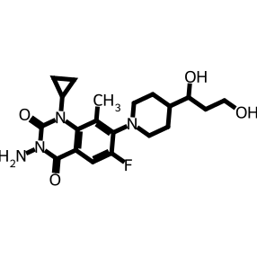 Cc1c(N2CCC(C(O)CCO)CC2)c(F)cc2c(=O)n(N)c(=O)n(C3CC3)c12